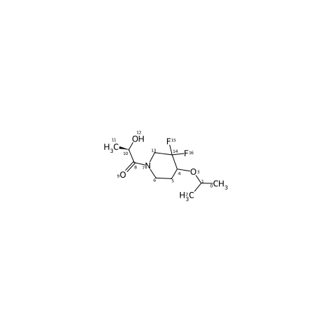 CC(C)OC1CCN(C(=O)[C@@H](C)O)CC1(F)F